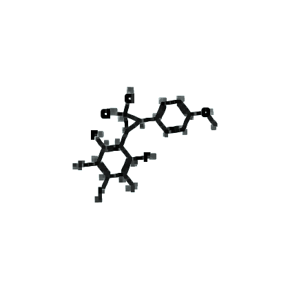 COc1ccc(C2C(c3c(F)c(F)c(F)c(F)c3F)C2(Cl)Cl)cc1